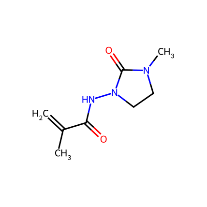 C=C(C)C(=O)NN1CCN(C)C1=O